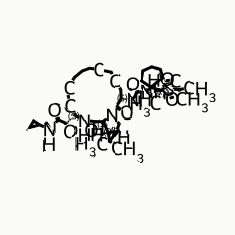 C[C@H](C1(NC(=O)N[C@H]2CCCCCCCCCC[C@@H](C(=O)C(=O)NC3CC3)NC(=O)[C@@H]3[C@@H]4[C@H](CN3C2=O)C4(C)C)CCCCC1)S(=O)(=O)C(C)(C)C